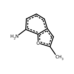 Cc1cc2cccc(N)c2o1